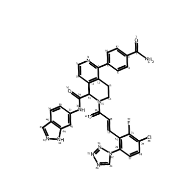 NC(=O)c1ccc(-c2nccc3c2CCN(C(=O)C=Cc2c(-n4cnnn4)ccc(Cl)c2F)C3C(=O)Nc2ccc3cn[nH]c3c2)cc1